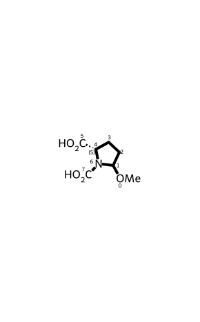 COC1CC[C@@H](C(=O)O)N1C(=O)O